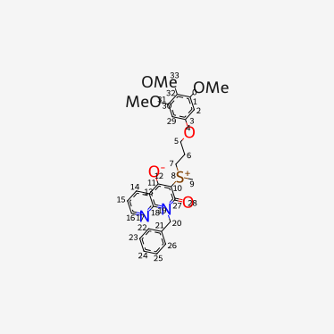 COc1cc(OCCC[S+](C)c2c([O-])c3cccnc3n(Cc3ccccc3)c2=O)cc(OC)c1OC